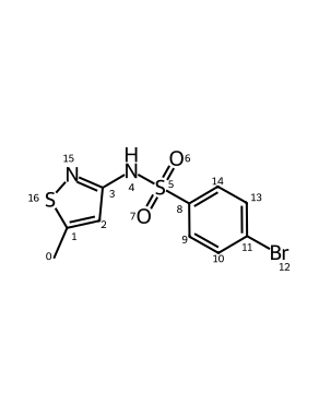 Cc1cc(NS(=O)(=O)c2ccc(Br)cc2)ns1